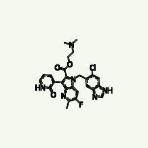 Cc1nc2c(-c3ccc[nH]c3=O)c(C(=O)OCCN(C)C)n(Cc3cc4nc[nH]c4cc3Cl)c2cc1F